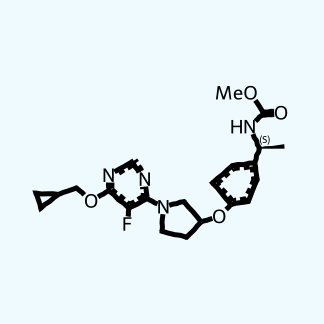 COC(=O)N[C@@H](C)c1ccc(OC2CCN(c3ncnc(OCC4CC4)c3F)C2)cc1